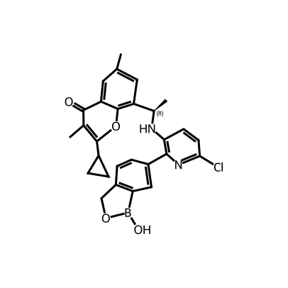 Cc1cc([C@@H](C)Nc2ccc(Cl)nc2-c2ccc3c(c2)B(O)OC3)c2oc(C3CC3)c(C)c(=O)c2c1